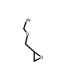 CC(C)[CH]OCC1CO1